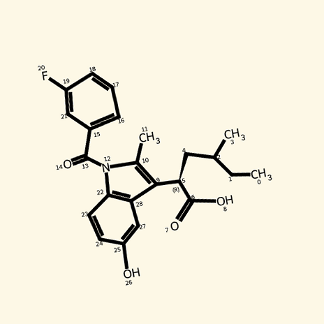 CCC(C)C[C@@H](C(=O)O)c1c(C)n(C(=O)c2cccc(F)c2)c2ccc(O)cc12